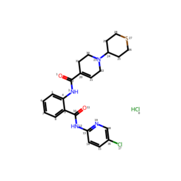 Cl.O=C(Nc1ccccc1C(=O)Nc1ccc(Cl)cn1)C1=CCN(C2CCSCC2)CC1